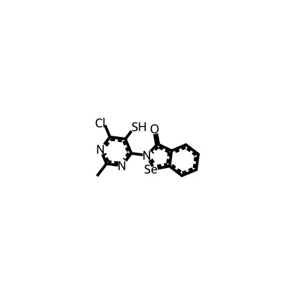 Cc1nc(Cl)c(S)c(-n2[se]c3ccccc3c2=O)n1